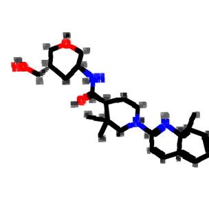 Cc1cccc2ccc(N3CC[C@H](C(=O)N[C@@H]4COC[C@@H](CO)C4)C(C)(C)C3)nc12